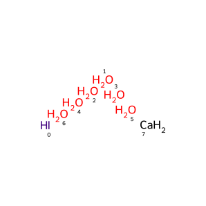 I.O.O.O.O.O.O.[CaH2]